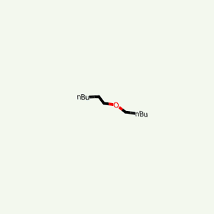 CC[CH]CCOCCCCCC